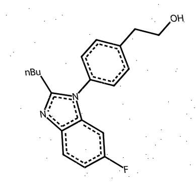 CCCCc1nc2ccc(F)cc2n1-c1ccc(CCO)cc1